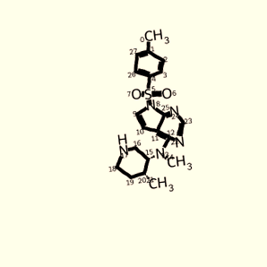 Cc1ccc(S(=O)(=O)n2ccc3c(N(C)[C@H]4CNCC[C@H]4C)ncnc32)cc1